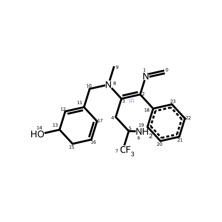 C=N/C(=C(/CC(N)C(F)(F)F)N(C)CC1=CC(O)CC=C1)c1ccccc1